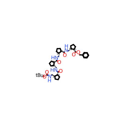 CC(C)(C)OC(=O)NC[C@@H]1CCC[C@H]1C(=O)NC[C@@H]1CCC[C@H]1C(=O)NC[C@@H]1CCC[C@H]1C(=O)NC[C@@H]1CCC[C@H]1C(=O)OCc1ccccc1